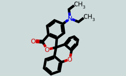 CCN(CC)c1ccc2c(c1)C1(OC2=O)c2ccccc2Oc2ccccc21